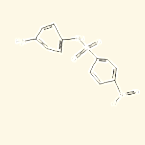 Nc1ccc(NS(=O)(=O)c2ccc([N+](=O)[O-])cc2)cc1